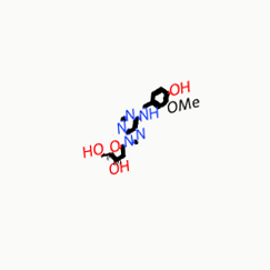 COc1cc(CNc2ncnc3c2ncn3C2C[C@H](O)[C@@H](CO)O2)ccc1O